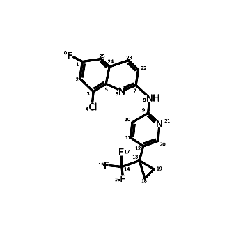 Fc1cc(Cl)c2nc(Nc3ccc(C4(C(F)(F)F)CC4)cn3)ccc2c1